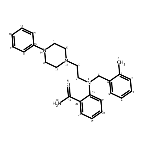 Cc1ccccc1CN(CCN1CCN(c2ccccc2)CC1)c1ccccc1C(N)=O